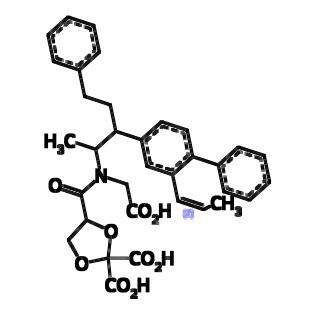 C/C=C\c1cc(C(CCc2ccccc2)C(C)N(CC(=O)O)C(=O)C2COC(C(=O)O)(C(=O)O)O2)ccc1-c1ccccc1